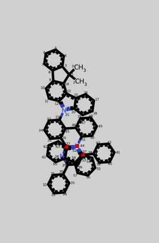 CC1(C)c2ccccc2-c2ccc3c(c21)c1ccccc1n3-c1cccc(-c2nc(-c3ccccc3)cc(-c3ccccc3)n2)c1-c1ccccc1-n1c2ccccc2c2ccccc21